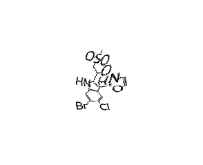 CS(=O)(=O)CC(O)c1[nH]c2cc(Br)c(Cl)cc2c1-c1ncco1